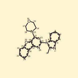 Cc1nc2ccccc2n1-c1nc(N2CCOCC2)c2oc3ccccc3c2n1